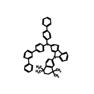 CC1(C)CCC(C)(C)c2cc(-n3c4ccccc4c4ccc(N(c5ccc(-c6ccccc6)cc5)c5ccc(-c6cccc(-c7ccccc7)c6)cc5)cc43)ccc21